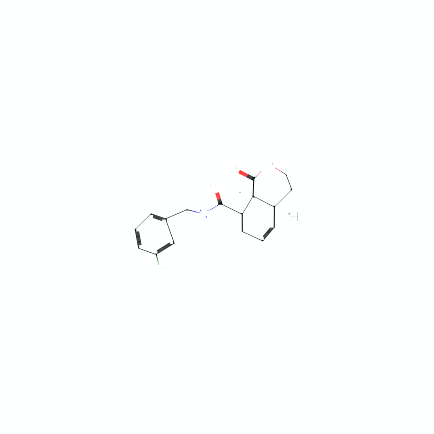 O=C(NCc1cccc(Br)c1)C1CC=C[C@@H]2CCOC(=O)[C@H]12